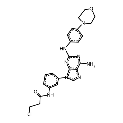 Nc1nc(Nc2ccc(N3CCOCC3)cc2)nc2c1ncn2-c1cccc(NC(=O)CCCl)c1